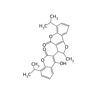 CC(C)c1cccc2c(O)c(C3c4c(c5cccc(C(C)C)c5oc4=O)OC3C)c(=O)oc12